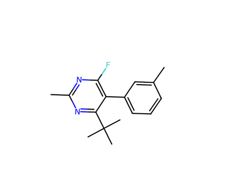 Cc1cccc(-c2c(F)nc(C)nc2C(C)(C)C)c1